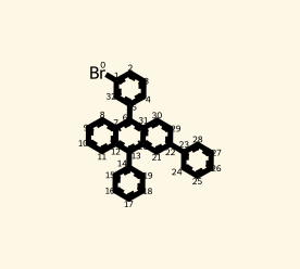 Brc1cccc(-c2c3ccccc3c(-c3ccccc3)c3cc(-c4ccccc4)ccc23)c1